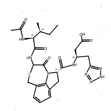 CC[C@H](C)[C@H](NC(C)=O)C(=O)NC1CCc2cccc3c2N(C1=O)[C@H](C(=O)N[C@@H](CC(=O)O)Cc1nn[nH]n1)C3